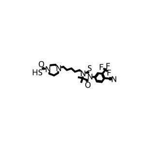 CC1(C)C(=O)N(c2ccc(C#N)c(C(F)(F)F)c2)C(=S)N1CCCCCN1CCCN(C(=O)S)CC1